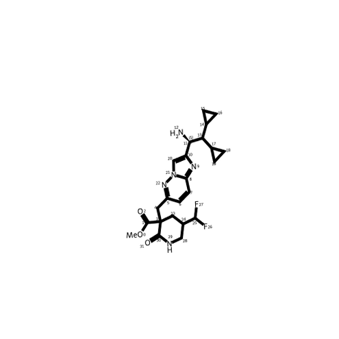 COC(=O)C1(Cc2ccc3nc([C@@H](N)C(C4CC4)C4CC4)cn3n2)CC(C(F)F)CNC1=O